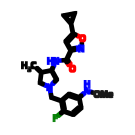 CONc1ccc(F)c(CN2CC(C)C(NC(=O)c3cc(C4CC4)on3)C2)c1